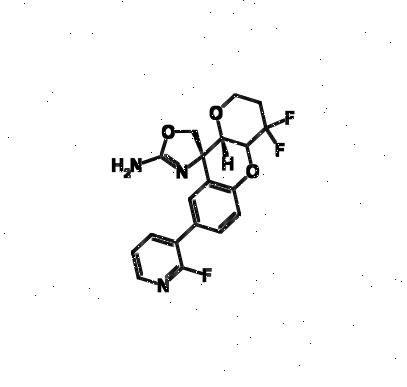 NC1=N[C@@]2(CO1)c1cc(-c3cccnc3F)ccc1OC1[C@H]2OCCC1(F)F